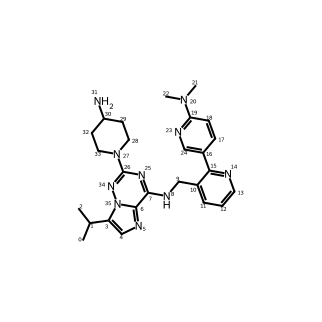 CC(C)c1cnc2c(NCc3cccnc3-c3ccc(N(C)C)nc3)nc(N3CCC(N)CC3)nn12